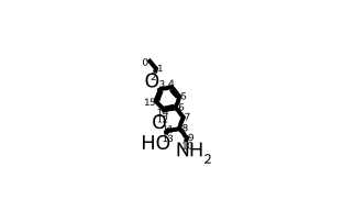 CCOc1ccc(CC(CN)C(=O)O)cc1